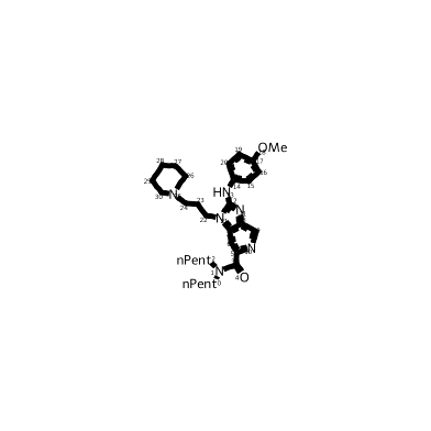 CCCCCN(CCCCC)C(=O)c1cc2c(cn1)nc(Nc1ccc(OC)cc1)n2CCCN1CCCCC1